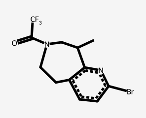 CC1CN(C(=O)C(F)(F)F)CCc2ccc(Br)nc21